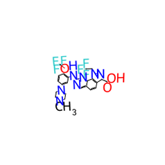 CN1CCN(c2ccc(OC(F)(F)F)c(Nc3ncc4ccc5c(C(=O)O)nn(CC(F)(F)F)c5c4n3)c2)CC1